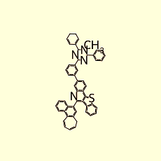 CN1C(c2ccccc2)=NC(c2cccc(-c3ccc4c(c3)nc(-c3cc5c(c6ccccc36)C=CC=CC5)c3c5ccccc5sc43)c2)=NC1C1=CCCC=C1